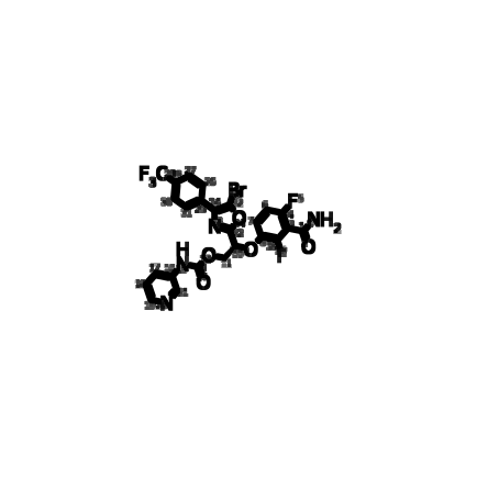 NC(=O)c1c(F)ccc(O[C@@H](COC(=O)Nc2cccnc2)c2nc(-c3ccc(C(F)(F)F)cc3)c(Br)o2)c1F